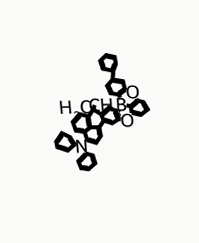 CC1(C)c2cc3c(cc2-c2ccc(N(c4ccccc4)c4ccccc4)c4cccc1c24)Oc1cccc2c1B3c1ccc(-c3ccccc3)cc1O2